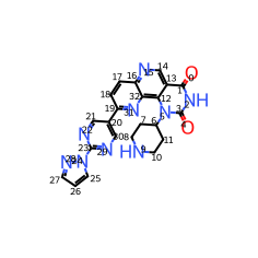 O=c1[nH]c(=O)n(C2CCNCC2)c2c1cnc1ccc(-c3cnc(-n4cccn4)nc3)nc12